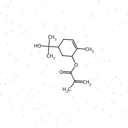 C=C(C)C(=O)OC1CC(C(C)(C)O)CC=C1C